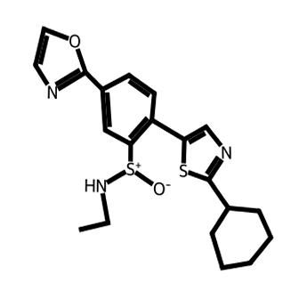 CCN[S+]([O-])c1cc(-c2ncco2)ccc1-c1cnc(C2CCCCC2)s1